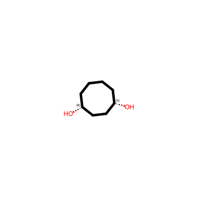 O[C@@H]1CCCC[C@H](O)CC1